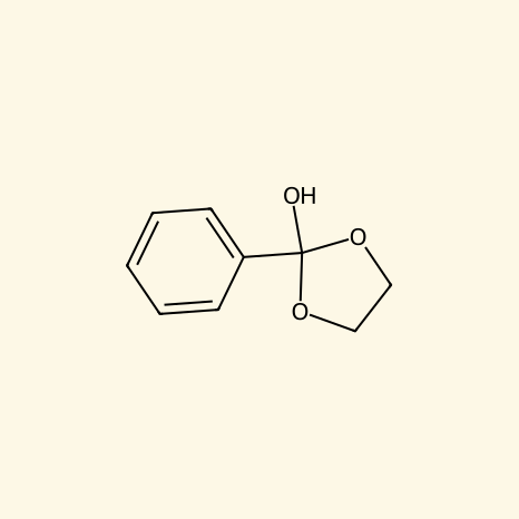 OC1(c2ccccc2)OCCO1